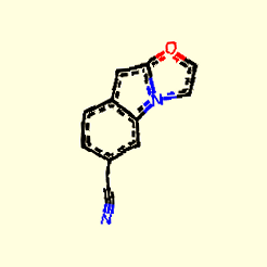 N#Cc1ccc2cc3occn3c2c1